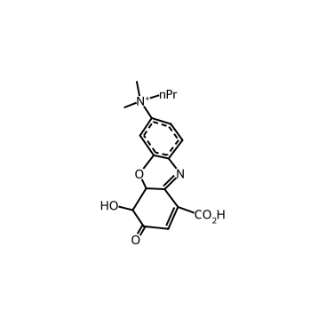 CCC[N+](C)(C)c1ccc2c(c1)OC1C(=N2)C(C(=O)O)=CC(=O)C1O